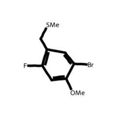 COc1cc(F)c(CSC)cc1Br